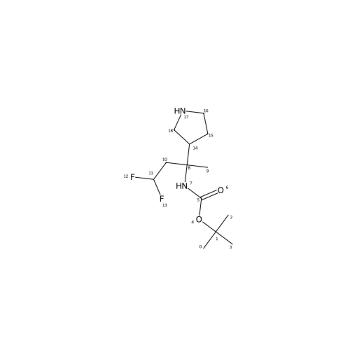 CC(C)(C)OC(=O)NC(C)(CC(F)F)C1CCNC1